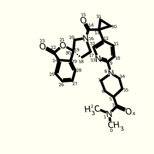 CN(C)C(=O)C1CCN(c2ccc(C3(C(=O)N4CC[C@@]5(C4)OC(=O)c4ccccc45)CC3)cn2)CC1